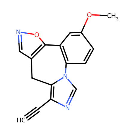 C#Cc1ncn2c1Cc1cnoc1-c1cc(OC)ccc1-2